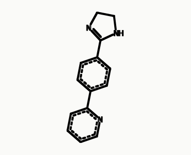 c1ccc(-c2ccc(C3=NCCN3)cc2)nc1